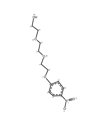 O=[N+]([O-])c1ccc(OCCOCCOCCO)cc1